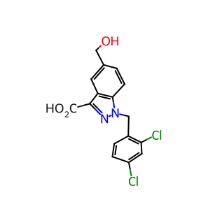 O=C(O)c1nn(Cc2ccc(Cl)cc2Cl)c2ccc(CO)cc12